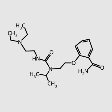 CCN(CC)CCNC(=O)N(CCOc1ccccc1C(N)=O)C(C)C